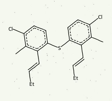 CCC=Cc1c(Sc2ccc(Cl)c(C)c2C=CCC)ccc(Cl)c1C